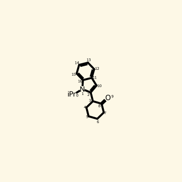 CC(C)n1c(C2CCCCC2=O)cc2ccccc21